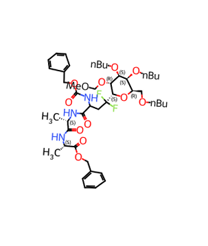 CCCCOC[C@H]1O[C@H](C(F)(F)CC(NC(=O)OCc2ccccc2)C(=O)N[C@@H](C)C(=O)N[C@@H](C)C(=O)OCc2ccccc2)[C@H](OCOC)[C@@H](OCCCC)[C@H]1OCCCC